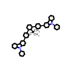 CC(C)(C)c1c(-c2ccc(-c3ccc4c(c3)c3ccccc3n4-c3ccccc3)cc2)cccc1-c1ccc(-c2ccc3c(c2)c2ccccc2n3-c2ccccc2)cc1